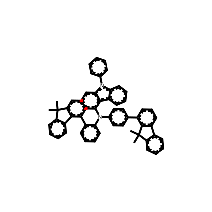 CC1(C)c2ccccc2-c2c(-c3ccccc3N(c3ccc(-c4cccc5c4C(C)(C)c4ccccc4-5)cc3)c3cccc4c3c3ccccc3n4-c3ccccc3)cccc21